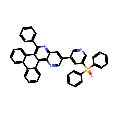 O=P(c1ccccc1)(c1ccccc1)c1cncc(-c2cnc3c(c2)nc(-c2ccccc2)c2c4ccccc4c4ccccc4c32)c1